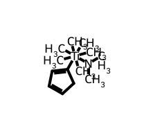 C[N](C)[Ti]([CH3])([CH3])([CH3])([CH3])([CH3])([CH3])[C]1=CC=CC1